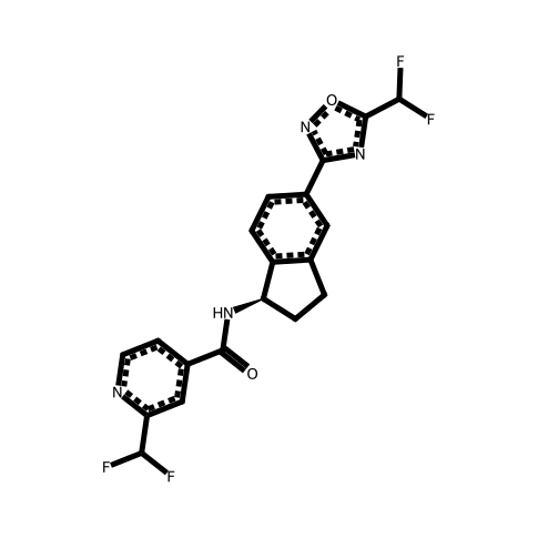 O=C(N[C@@H]1CCc2cc(-c3noc(C(F)F)n3)ccc21)c1ccnc(C(F)F)c1